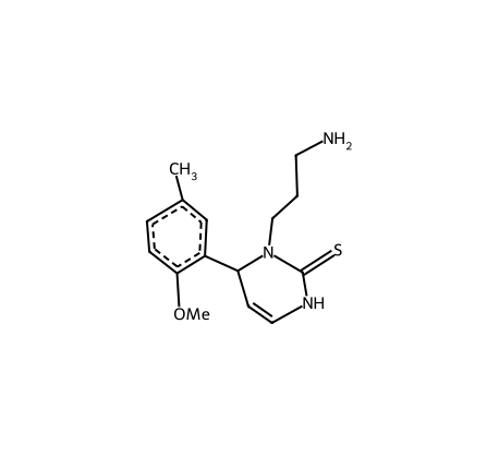 COc1ccc(C)cc1C1C=CNC(=S)N1CCCN